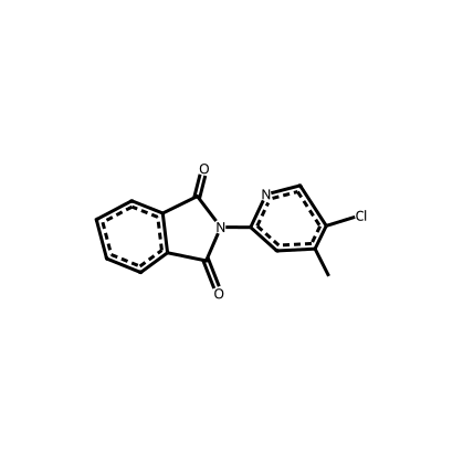 Cc1cc(N2C(=O)c3ccccc3C2=O)ncc1Cl